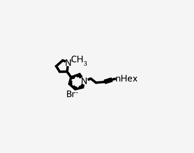 CCCCCCC#CCC[n+]1cccc(C2CCCN2C)c1.[Br-]